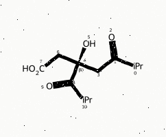 CC(C)C(=O)C[C@@](O)(CC(=O)O)C(=O)C(C)C